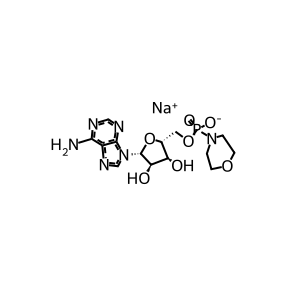 Nc1ncnc2c1ncn2[C@@H]1O[C@H](COP(=O)([O-])N2CCOCC2)[C@@H](O)[C@H]1O.[Na+]